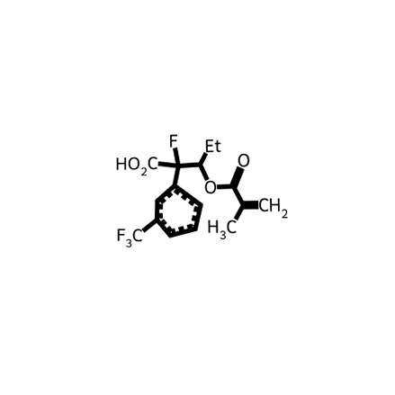 C=C(C)C(=O)OC(CC)C(F)(C(=O)O)c1cccc(C(F)(F)F)c1